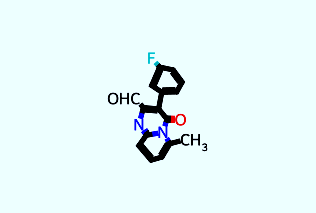 Cc1cccc2nc(C=O)c(-c3cccc(F)c3)c(=O)n12